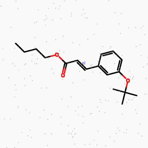 CCCCOC(=O)/C=C/c1cccc(OC(C)(C)C)c1